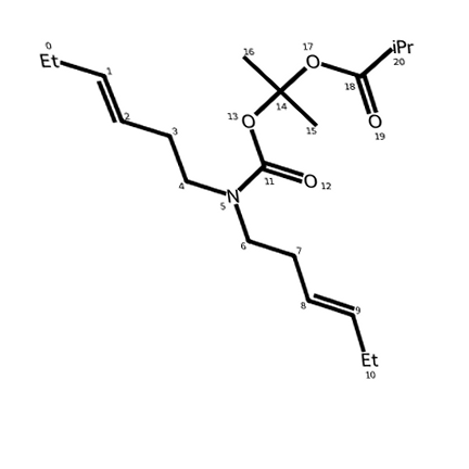 CCC=CCCN(CCC=CCC)C(=O)OC(C)(C)OC(=O)C(C)C